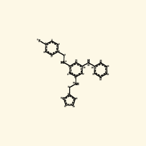 Fc1ccc(CNc2nc(NCc3ccco3)cc(Nc3cnccn3)n2)cc1